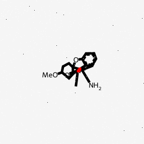 COC1CCC2(CC1)Oc1ccccc1C21N=C(N)N(C)C1=O